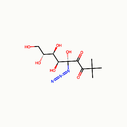 CC(C)(C)C(=O)C(=O)[C@@](O)(N=[N+]=[N-])[C@@H](O)[C@H](O)[C@H](O)CO